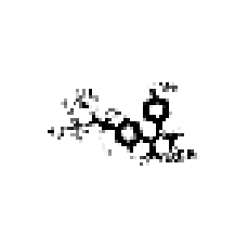 COC(=O)C(c1ccc(C(C)(C)C(O[SiH2]C)O[SiH2]C)cc1F)N(C(=O)OC(C)(C)C)c1ccc(OC)cc1